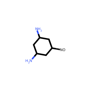 NC1CC(N)CC(N=O)C1